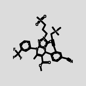 COC(=O)C1=C(C)N(c2cccc(C(F)(F)F)c2)c2nn(CCCS(C)(=O)=O)c(=O)n2C1c1ccc(C#N)cc1C#CC[N+](C)(C)C